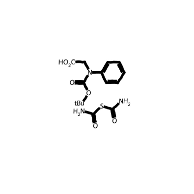 CC(C)(C)OC(=O)N(CC(=O)O)c1ccccc1.NC(=O)SC(N)=O